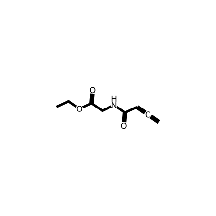 C=C=CC(=O)NCC(=O)OCC